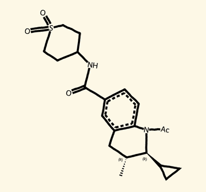 CC(=O)N1c2ccc(C(=O)NC3CCS(=O)(=O)CC3)cc2C[C@@H](C)[C@@H]1C1CC1